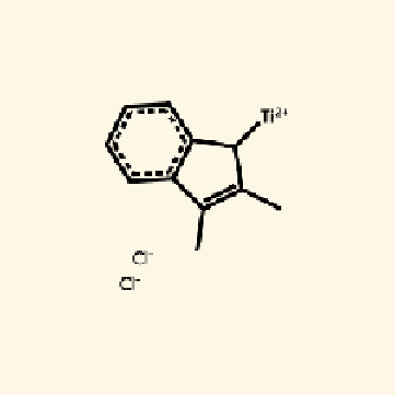 CC1=C(C)[CH]([Ti+2])c2ccccc21.[Cl-].[Cl-]